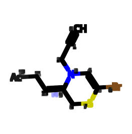 C#CCN1C=C(Br)SC/C1=C/CC(C)=O